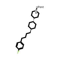 CCCCC[SiH]1CCC([C@H]2CC[C@H](CCCCc3ccc(F)cc3)CC2)CC1